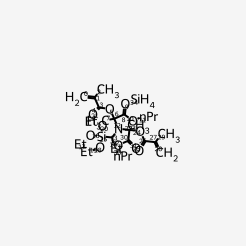 C=C(C)C(=O)OC(C)(C(=O)OCCC)N(C(CC)[Si](OCC)(OCC)OCC)C(C)(OC(=O)C(=C)C)C(=O)OCCC.[SiH4]